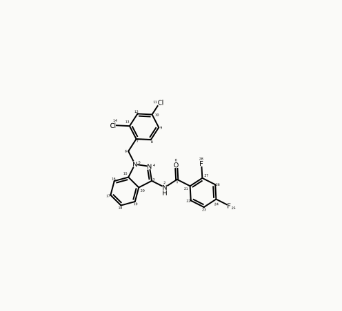 O=C(Nc1nn(Cc2ccc(Cl)cc2Cl)c2ccccc12)c1ccc(F)cc1F